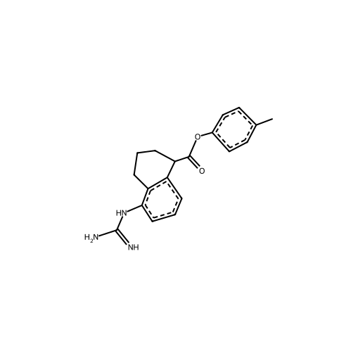 Cc1ccc(OC(=O)C2CCCc3c(NC(=N)N)cccc32)cc1